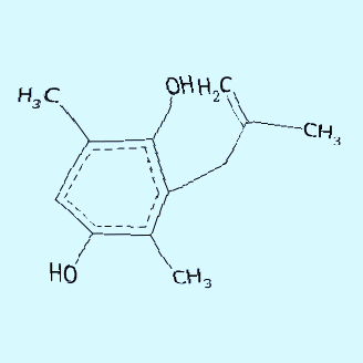 C=C(C)Cc1c(C)c(O)cc(C)c1O